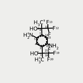 CC(O)(c1cc(N)c(C(C)(O)C(F)(F)F)cc1N)C(F)(F)F